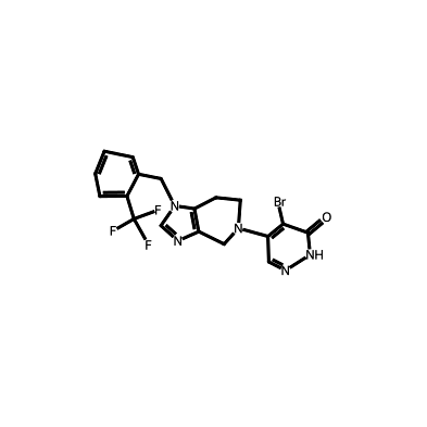 O=c1[nH]ncc(N2CCc3c(ncn3Cc3ccccc3C(F)(F)F)C2)c1Br